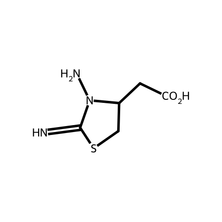 N=C1SCC(CC(=O)O)N1N